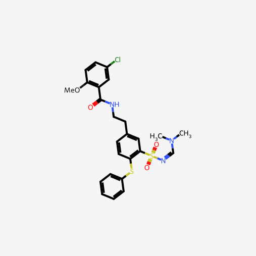 COc1ccc(Cl)cc1C(=O)NCCc1ccc(Sc2ccccc2)c(S(=O)(=O)/N=C\N(C)C)c1